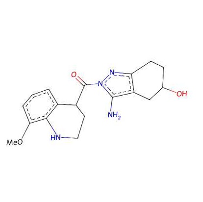 COc1cccc2c1NCCC2C(=O)n1nc2c(c1N)CC(O)CC2